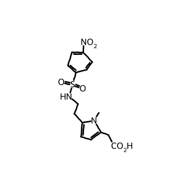 Cn1c(CCNS(=O)(=O)c2ccc([N+](=O)[O-])cc2)ccc1CC(=O)O